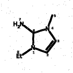 CCN1C=CN(C)C1N